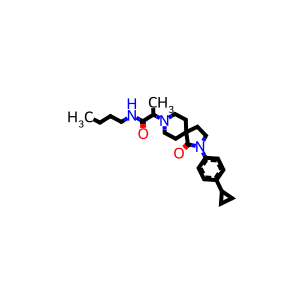 CCCCNC(=O)C(C)N1CCC2(CCN(c3ccc(C4CC4)cc3)C2=O)CC1